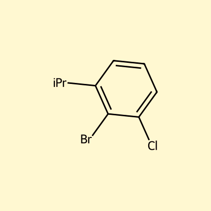 CC(C)c1cccc(Cl)c1Br